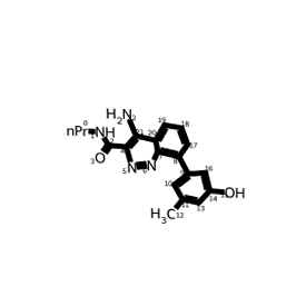 CCCNC(=O)c1nnc2c(-c3cc(C)cc(O)c3)cccc2c1N